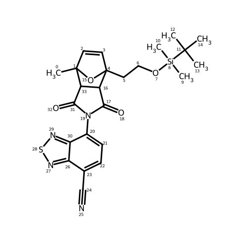 CC12C=CC(CCO[Si](C)(C)C(C)(C)C)(O1)C1C(=O)N(c3ccc(C#N)c4nsnc34)C(=O)C12